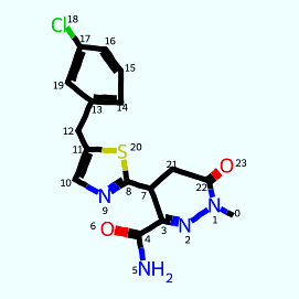 CN1N=C(C(N)=O)C(c2ncc(Cc3cccc(Cl)c3)s2)CC1=O